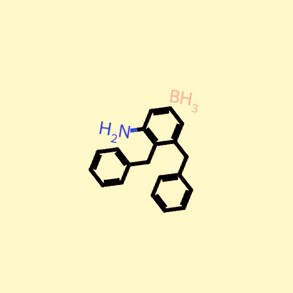 B.Nc1cccc(Cc2ccccc2)c1Cc1ccccc1